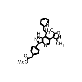 COC(=O)Cc1ccc(-c2n[nH]c3c(CCc4ccccn4)c(-c4c(C)noc4C)cnc23)cc1